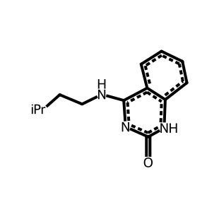 CC(C)CCNc1nc(=O)[nH]c2ccccc12